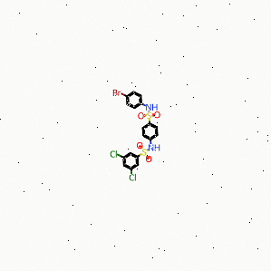 O=S(=O)(Nc1ccc(Br)cc1)c1ccc(NS(=O)(=O)c2cc(Cl)cc(Cl)c2)cc1